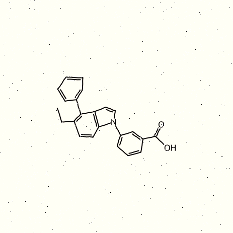 CCc1ccc2c(ccn2-c2cccc(C(=O)O)c2)c1-c1ccccc1